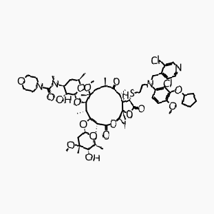 COc1ccc(N(CCS[C@@H]2C(=O)O[C@@]3(C)[C@H]2[C@@H](C)C(=O)[C@H](C)C[C@@](C)(OC)[C@H](O[C@@H]2O[C@H](C)C[C@H](N(C)C(=O)N4CCOCC4)[C@H]2O)[C@@H](C)[C@H](O[C@H]2C[C@@](C)(OC)[C@@H](O)[C@H](C)O2)[C@@H](C)C(=O)O[C@@H]3I)Cc2c(Cl)cncc2Cl)cc1OC1CCCC1